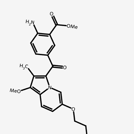 COC(=O)c1cc(C(=O)c2c(C)c(OC)c3ccc(OCCN)cn23)ccc1N